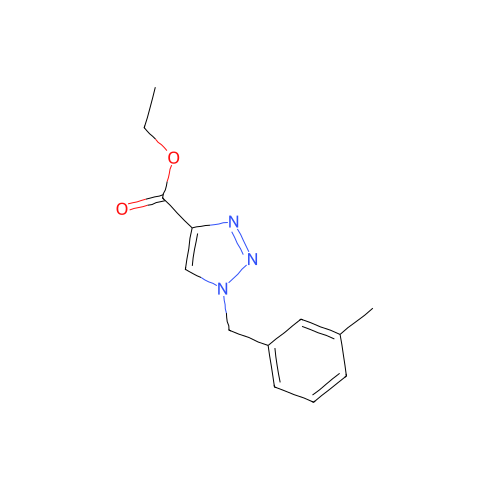 CCOC(=O)c1cn(Cc2cccc(C)c2)nn1